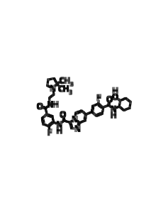 CC1(C)CCCN1CCNC(=O)c1ccc(F)c(NC(=O)c2cnc3cc(-c4ccc(C(=O)NC5CCCCC5O)c(F)c4)ccn23)c1